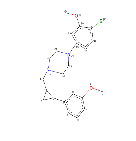 COc1cccc(C2CC2CN2CCN(c3ccc(Br)c(OC)c3)CC2)c1